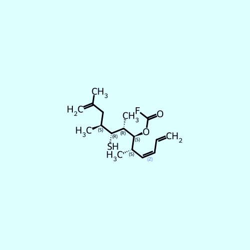 C=C/C=C\[C@H](C)[C@H](OC(=O)F)[C@@H](C)[C@H](S)[C@@H](C)CC(=C)C